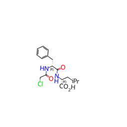 CC(C)C[C@@H](NC(=O)[C@@H](Cc1ccccc1)NC(=O)CCl)C(=O)O